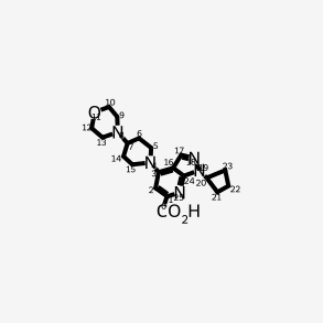 O=C(O)c1cc(N2CCC(N3CCOCC3)CC2)c2cnn(C3CCC3)c2n1